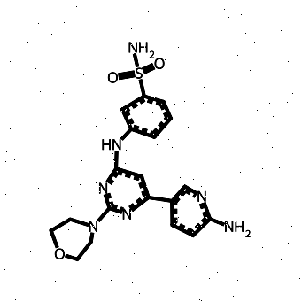 Nc1ccc(-c2cc(Nc3cccc(S(N)(=O)=O)c3)nc(N3CCOCC3)n2)cn1